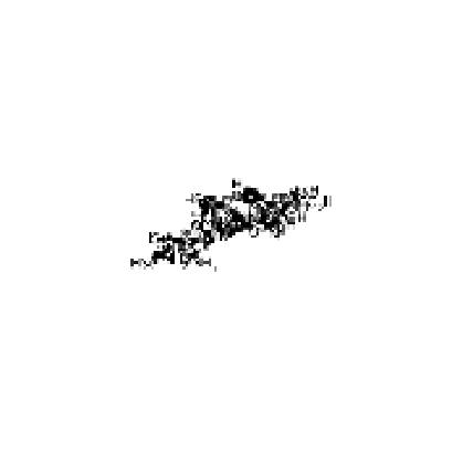 C[C@H](NC(=O)[C@@H]1CCCN1C(=O)[C@H](CC(N)=O)NC(=O)[C@H](C[SeH])NC(=O)[C@@H](N)C[SeH])C(=O)N[C@@H](C[SeH])C(=O)NCC(=O)N[C@@H](CCCNC(=N)N)C(=O)N[C@@H](Cc1c[nH]cn1)C(=O)N[C@@H](Cc1ccc(O)cc1)C(=O)N[C@@H](CO)C(=O)N[C@@H](C[SeH])C(=O)O